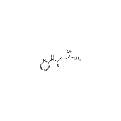 CC(O)CSC(=S)Nc1ccccn1